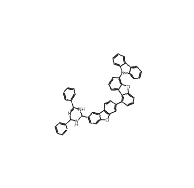 c1ccc(C2=NC(c3ccccc3)NC(c3ccc4oc5cc(-c6cccc7oc8c(-n9c%10ccccc%10c%10ccccc%109)cccc8c67)ccc5c4c3)N2)cc1